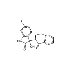 O=C1c2ccccc2CCC1C1(O)C(=O)Nc2cc(F)ccc21